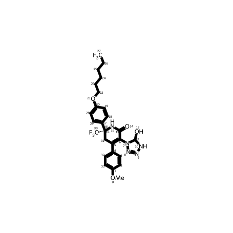 COc1ccc(C2=C(N3N=NNC3O)C(=O)N[C@@](c3ccc(OCCCCCC(F)(F)F)cc3)(C(F)(F)F)C2)cc1